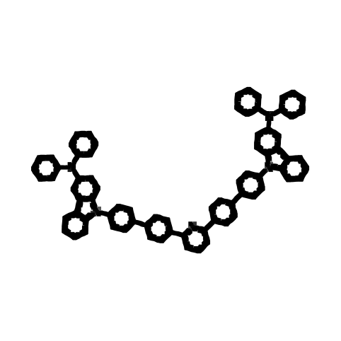 c1ccc(N(c2ccccc2)c2ccc3c(c2)c2ccccc2n3-c2ccc(-c3ccc(-c4cccc(-c5ccc(-c6ccc(-n7c8ccccc8c8cc(N(c9ccccc9)c9ccccc9)ccc87)cc6)cc5)n4)cc3)cc2)cc1